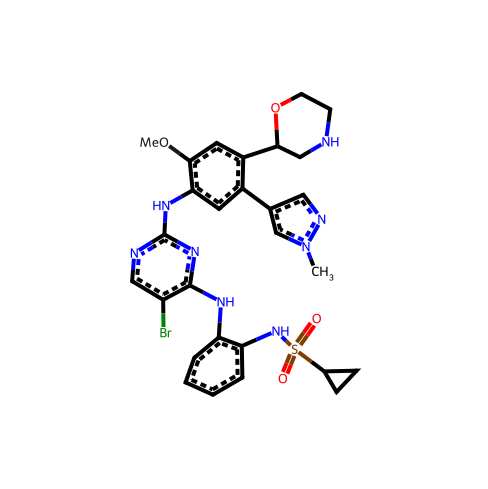 COc1cc(C2CNCCO2)c(-c2cnn(C)c2)cc1Nc1ncc(Br)c(Nc2ccccc2NS(=O)(=O)C2CC2)n1